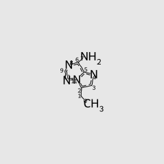 CCc1cnc2c(N)ncnn12